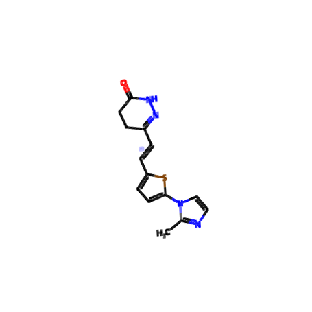 Cc1nccn1-c1ccc(/C=C/C2=NNC(=O)CC2)s1